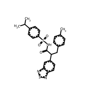 Cc1ccc(CC(C(=O)NS(=O)(=O)c2ccc(C(C)C)cc2)c2ccc3nsnc3c2)cc1